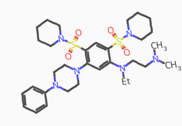 CCN(CCN(C)C)c1cc(N2CCN(c3ccccc3)CC2)c(S(=O)(=O)N2CCCCC2)cc1S(=O)(=O)N1CCCCC1